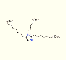 CCCCCCCCCCCCCCCCCc1c[nH]c(CCCCCCCCCCCCCCCC)[n+]1CCCCCCCCCCCCCC